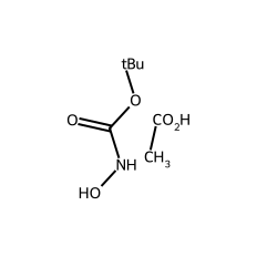 CC(=O)O.CC(C)(C)OC(=O)NO